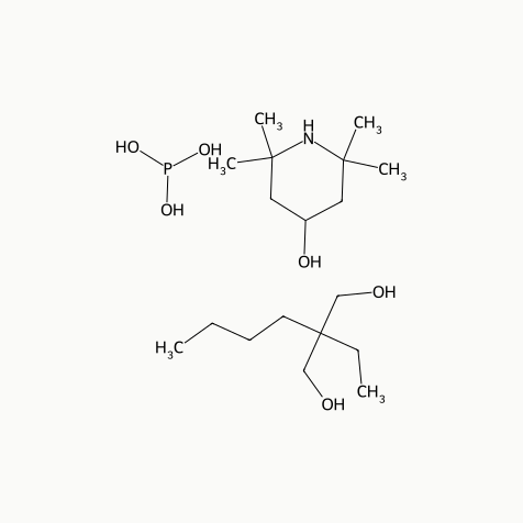 CC1(C)CC(O)CC(C)(C)N1.CCCCC(CC)(CO)CO.OP(O)O